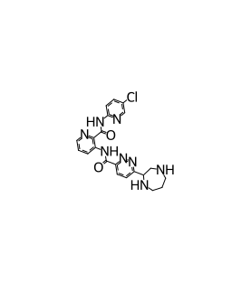 O=C(Nc1cccnc1C(=O)Nc1ccc(Cl)cn1)c1ccc(C2CNCCCN2)nn1